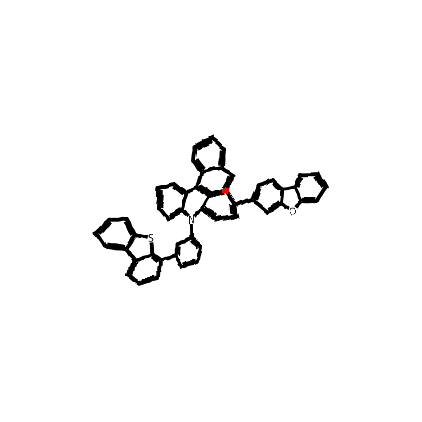 c1cc(-c2cccc3c2sc2ccccc23)cc(N(c2ccc(-c3ccc4c(c3)oc3ccccc34)cc2)c2ccccc2-c2cccc3ccccc23)c1